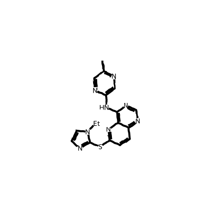 CCn1ccnc1Sc1ccc2ncnc(Nc3cnc(C)cn3)c2n1